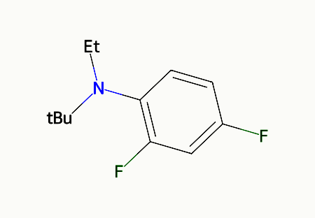 CCN(c1ccc(F)cc1F)C(C)(C)C